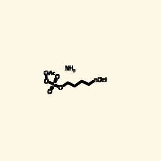 CCCCCCCCCCCCOS(=O)(=O)OOC(C)=O.N